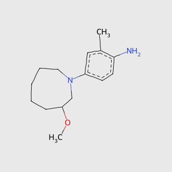 COC1CCCCCN(c2ccc(N)c(C)c2)C1